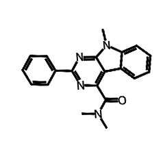 CN(C)C(=O)c1nc(-c2ccccc2)nc2c1c1ccccc1n2C